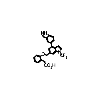 NCc1cccc(-c2cc(COc3ccccc3CC(=O)O)cc3c2ccn3C(F)(F)F)c1